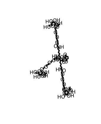 CC(=O)N[C@H]1[C@H](OCCOCCOCCOCC(=O)NCCCCC(NC(=O)COCCOCCOCCO[C@@H]2O[C@H](CO)[C@H](O)[C@H](O)[C@H]2NC(C)=O)C(=O)NC(CCCCNC(=O)COCCOCCOCCO[C@@H]2O[C@H](CO)[C@H](O)[C@H](O)[C@H]2NC(C)=O)C(=O)ON2C(=O)CCC2=O)O[C@H](CO)[C@H](O)[C@@H]1O